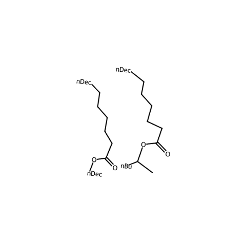 CCCCCCCCCCCCCCCC(=O)OC(C)CCCC.CCCCCCCCCCCCCCCC(=O)OCCCCCCCCCC